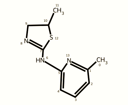 Cc1cccc(NC2=NCC(C)S2)n1